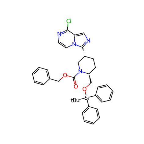 CC(C)(C)[Si](OC[C@@H]1CC[C@@H](c2ncc3c(Cl)nccn23)CN1C(=O)OCc1ccccc1)(c1ccccc1)c1ccccc1